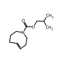 CC(C)COC(=O)N1CC/C=C/CCC1